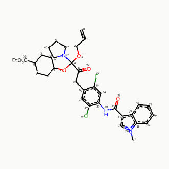 C=CCOC(OC1CCC(C(=O)OCC)CC1)(C(=O)Cc1cc(Cl)c(NC(=O)c2cn(C)c3ccccc23)cc1F)N1CCCC1